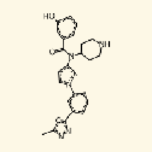 Cc1nnc(-c2cccc(-n3ccc(N(C(=O)c4cccc(O)c4)C4CCNCC4)n3)c2)o1